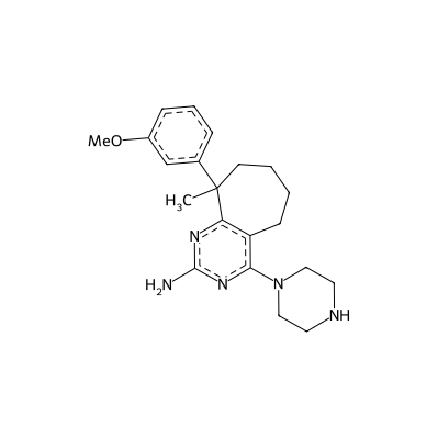 COc1cccc(C2(C)CCCCc3c(N4CCNCC4)nc(N)nc32)c1